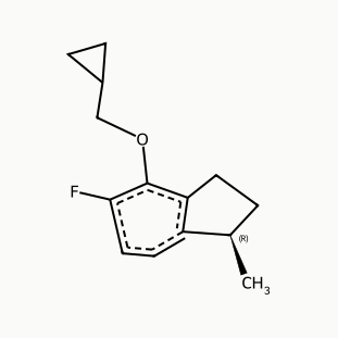 C[C@@H]1CCc2c1ccc(F)c2OCC1CC1